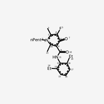 CCCCCn1c(C)c(F)c(=O)c(C(=O)Nc2c(CC)cccc2CC)c1C